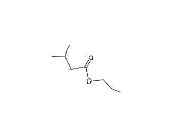 CCCOC(=O)[CH]C(C)C